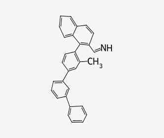 Cc1cc(-c2cccc(-c3ccccc3)c2)ccc1-c1c(C=N)ccc2ccccc12